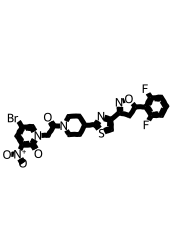 O=C(Cn1cc(Br)cc([N+](=O)[O-])c1=O)N1CCC(c2nc(C3=NOC(c4c(F)cccc4F)C3)cs2)CC1